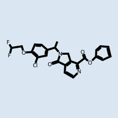 CC(c1ccc(OCC(F)F)c(Cl)c1)N1Cc2c(ccnc2C(=O)Oc2ccccc2)C1=O